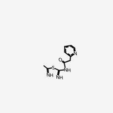 CC(=N)SC(=N)NC(=O)Cc1ccccn1